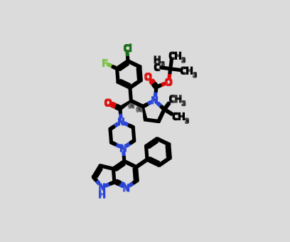 CC(C)(C)OC(=O)N1[C@H]([C@@H](C(=O)N2CCN(c3c(-c4ccccc4)cnc4[nH]ccc34)CC2)c2ccc(Cl)c(F)c2)CCC1(C)C